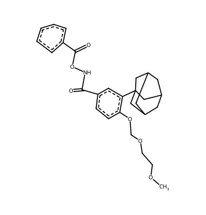 COCCOCOc1ccc(C(=O)NOC(=O)c2ccccc2)cc1C12CC3CC(CC(C3)C1)C2